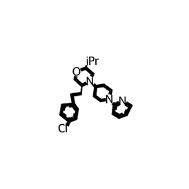 CC(C)[C@H]1CN(C2CCN(c3ccccn3)CC2)[C@@H](CCc2ccc(Cl)cc2)CO1